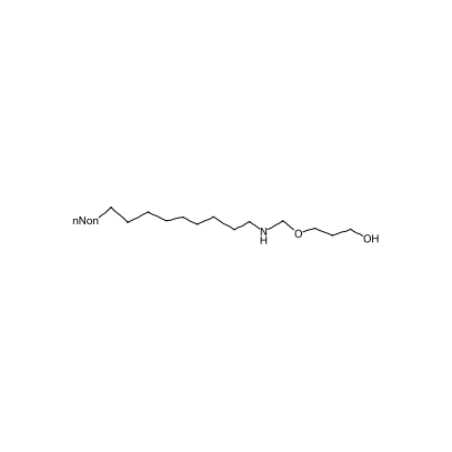 CCCCCCCCCCCCCCCCCCNCOCCCO